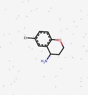 CCc1ccc2c(c1)C(N)CCO2